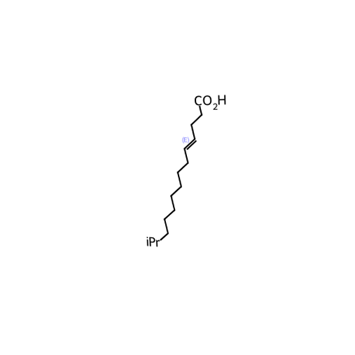 CC(C)CCCCCCC/C=C/CCC(=O)O